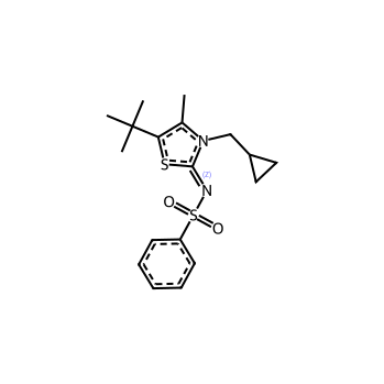 Cc1c(C(C)(C)C)s/c(=N\S(=O)(=O)c2ccccc2)n1CC1CC1